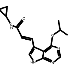 CC(C)Oc1ncnc2[nH]cc(C=CC(=O)NC3CC3)c12